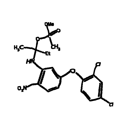 CCC(C)(Nc1cc(Oc2ccc(Cl)cc2Cl)ccc1[N+](=O)[O-])OP(C)(=O)OC